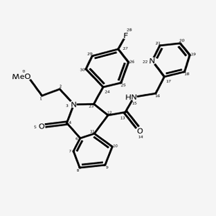 COCCN1C(=O)c2ccccc2C(C(=O)NCc2ccccn2)C1c1ccc(F)cc1